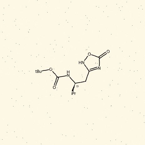 CC(C)[C@H](Cc1nc(=O)o[nH]1)NC(=O)OC(C)(C)C